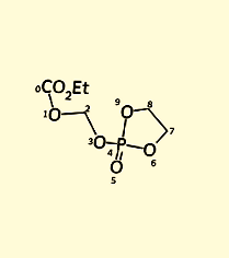 CCOC(=O)OCOP1(=O)OCCO1